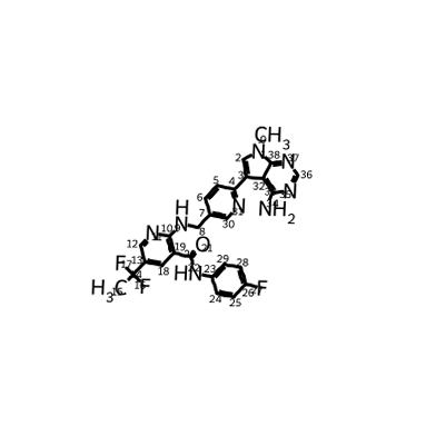 Cn1cc(-c2ccc(CNc3ncc(C(C)(F)F)cc3C(=O)Nc3ccc(F)cc3)cn2)c2c(N)ncnc21